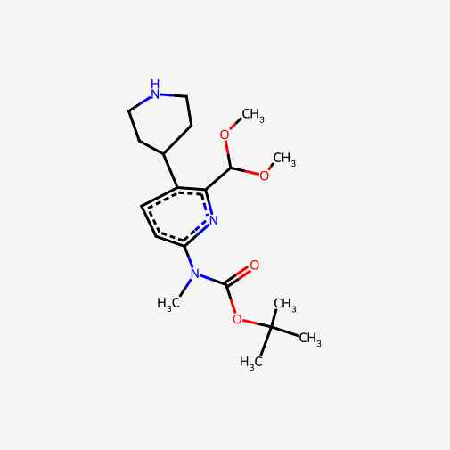 COC(OC)c1nc(N(C)C(=O)OC(C)(C)C)ccc1C1CCNCC1